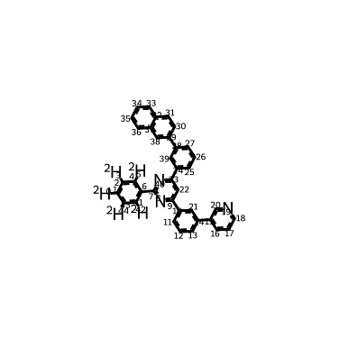 [2H]c1c([2H])c([2H])c(-c2nc(-c3cccc(-c4cccnc4)c3)cc(-c3cccc(-c4ccc5ccccc5c4)c3)n2)c([2H])c1[2H]